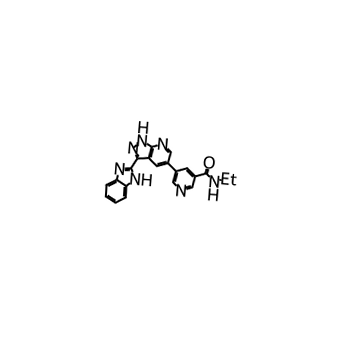 CCNC(=O)c1cncc(-c2cnc3[nH]nc(-c4nc5ccccc5[nH]4)c3c2)c1